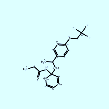 CCC(=O)NC1(NC(C)c2ccc(SCC(F)(F)F)nc2)C=NC=CN1